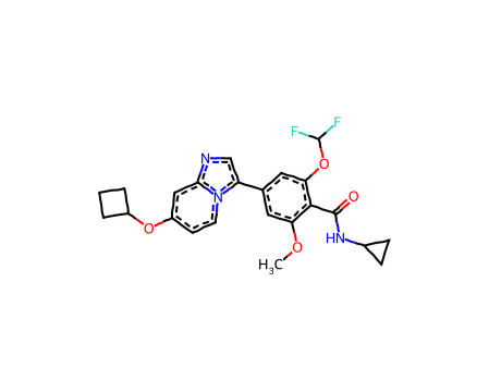 COc1cc(-c2cnc3cc(OC4CCC4)ccn23)cc(OC(F)F)c1C(=O)NC1CC1